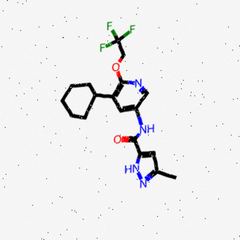 Cc1cc(C(=O)Nc2cnc(OCC(F)(F)F)c(C3CCCCC3)c2)[nH]n1